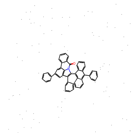 O=c1c2ccccc2c2cc(-c3ccccc3)cc3c(-c4ccccc4)c(-c4c5ccccc5c(-c5ccccc5)c5ccccc45)n1c32